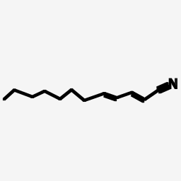 CCCCCCCC=CC=CC#N